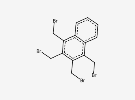 BrCc1c(CBr)c(CBr)c2ccccc2c1CBr